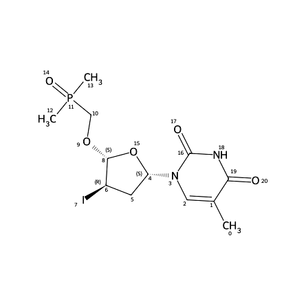 Cc1cn([C@@H]2C[C@@H](I)[C@H](OCP(C)(C)=O)O2)c(=O)[nH]c1=O